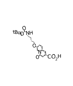 CC(C)(C)OC(=O)NCCCCOc1ccc2cc(C(=O)O)cc(=O)n2c1